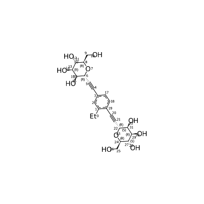 CCc1cc(C#C[C@H]2O[C@H](CO)[C@@H](O)[C@H](O)[C@@H]2O)ccc1C#C[C@H]1O[C@H](CO)[C@@H](O)[C@H](O)[C@@H]1O